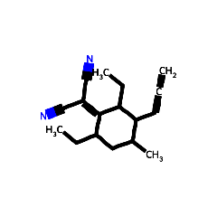 C=C=CC1C(C)CC(CC)C(=C(C#N)C#N)C1CC